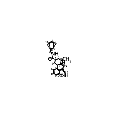 CN1C[C@H](C(=O)NCc2cnccn2)CC2c3cccc4[nH]cc(c34)C[C@H]21